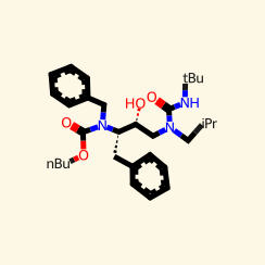 CCCCOC(=O)N(Cc1ccccc1)[C@@H](Cc1ccccc1)[C@H](O)CN(CC(C)C)C(=O)NC(C)(C)C